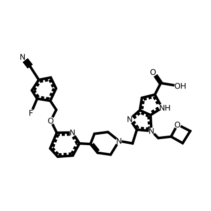 N#Cc1ccc(COc2cccc(C3=CCN(Cc4nc5cc(C(=O)O)[nH]c5n4CC4CCO4)CC3)n2)c(F)c1